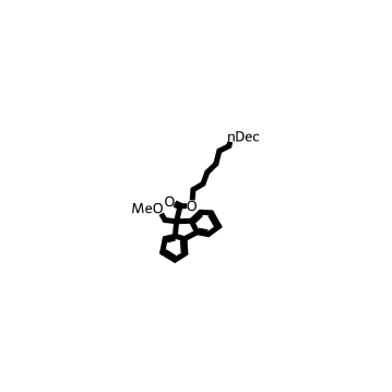 CCCCCCCCCCCCCCCCOC(=O)C1(COC)c2ccccc2-c2ccccc21